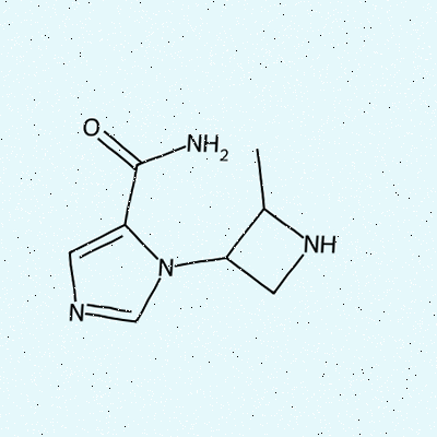 CC1NCC1n1cncc1C(N)=O